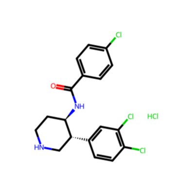 Cl.O=C(N[C@@H]1CCNC[C@H]1c1ccc(Cl)c(Cl)c1)c1ccc(Cl)cc1